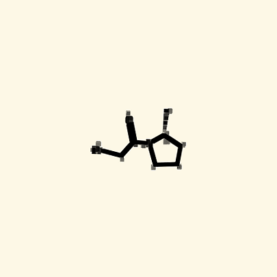 C[C](C)CC(=O)N1CCC[C@H]1C